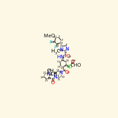 COc1ccc(-c2cnc(C(=O)Nc3ccc(C(=O)N4CCN(C(=O)[C@@H]5C=CC[N+]5(C)C)CC4)c(Cl)c3)n2C)c(F)c1F.O=C[O-]